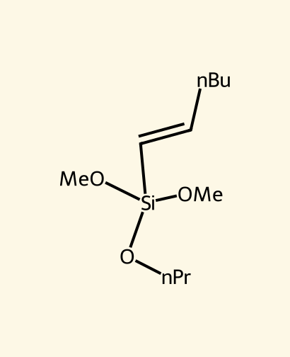 CCCCC=C[Si](OC)(OC)OCCC